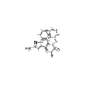 Cn1cc(C(=O)NC(Cc2ccccc2)C(=O)CF)c(-c2ccccc2)n1